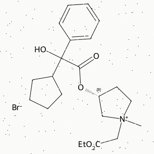 CCOC(=O)C[N+]1(C)CC[C@@H](OC(=O)C(O)(c2ccccc2)C2CCCC2)C1.[Br-]